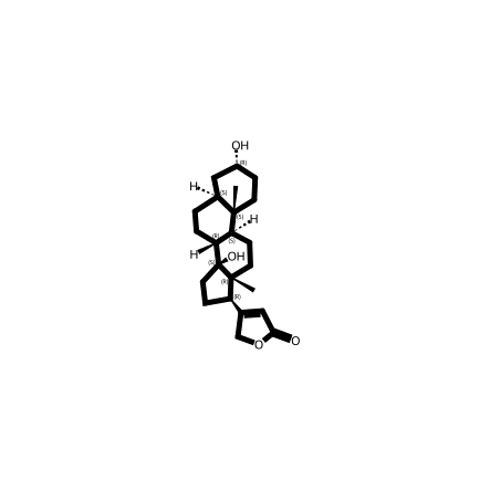 C[C@]12CC[C@@H](O)C[C@@H]1CC[C@@H]1[C@@H]2CC[C@]2(C)[C@@H](C3=CC(=O)OC3)CC[C@]12O